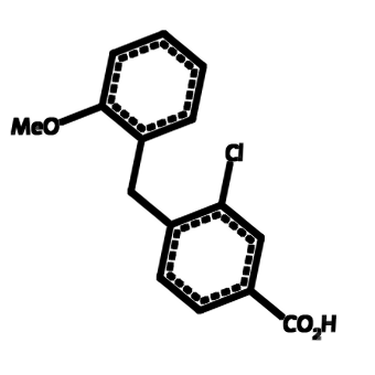 COc1ccccc1Cc1ccc(C(=O)O)cc1Cl